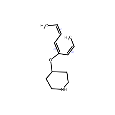 C\C=C/C=C(\C=C/C)OC1CCNCC1